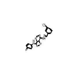 Fc1ccc(Nc2ncnc3c(NN=Cc4cccc(Cl)c4)ncnc23)cc1